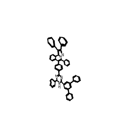 c1ccc(-c2cc(C3=NC(c4ccc(-c5c(-c6ccccc6)n6nc(-c7ccccc7)c(-c7ccccc7)c6c6ccccc56)cc4)=NC(c4ccccc4)N3)cc(-c3ccccc3)c2)cc1